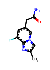 Cc1cn2cc(CC(N)=O)cc(F)c2n1